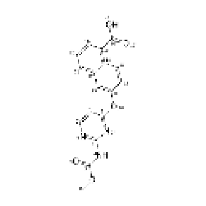 COC(=O)Nc1nccc(Oc2ccc3c(C(=O)O)cccc3c2)n1